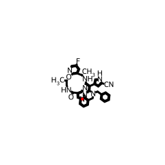 CC1CNC(=O)c2cnn3c(N(Cc4ccccc4)Cc4ccccc4)c(-c4c[nH]c(C#N)c4)c(nc23)NC(C)c2cc(F)cnc2O1